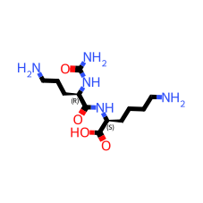 NCCCC[C@H](NC(=O)[C@@H](CCCN)NC(N)=O)C(=O)O